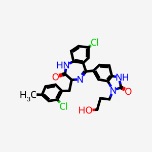 Cc1ccc(CC2N=C(c3ccc4[nH]c(=O)n(CCCO)c4c3)c3cc(Cl)ccc3NC2=O)c(Cl)c1